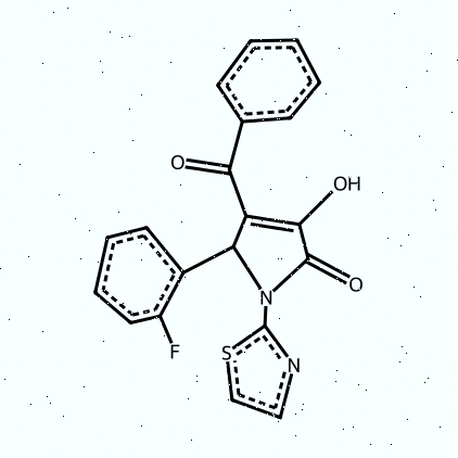 O=C(C1=C(O)C(=O)N(c2nccs2)C1c1ccccc1F)c1ccccc1